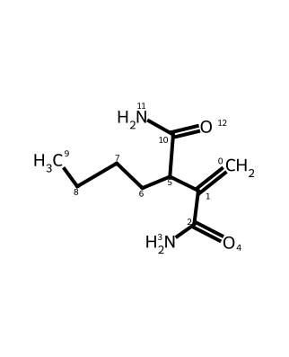 C=C(C(N)=O)C(CCCC)C(N)=O